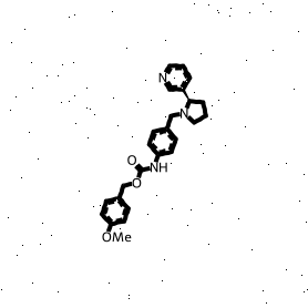 COc1ccc(COC(=O)Nc2ccc(CN3CCC[C@@H]3c3cccnc3)cc2)cc1